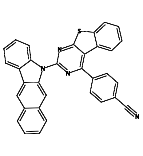 N#Cc1ccc(-c2nc(-n3c4ccccc4c4cc5ccccc5cc43)nc3sc4ccccc4c23)cc1